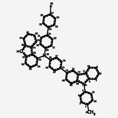 Cc1ccc(-n2c3ccccc3c3cc(-c4ccc(N(c5ccc(-c6ccc(F)cc6)cc5)c5cccc6oc7ccccc7c56)cc4)ccc32)cc1